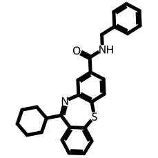 O=C(NCc1ccccc1)c1ccc2c(c1)N=C(C1CCCCC1)c1ccccc1S2